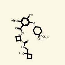 COc1cc(C#N)c(O[C@H]2CC[C@@](C)(C(=O)O)CC2)cc1C(=O)N[C@H]1CC[C@H]1C(=O)NCC1(C)CCC1